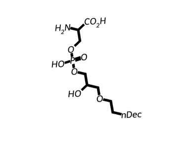 CCCCCCCCCCCCOCC(O)COP(=O)(O)OCC(N)C(=O)O